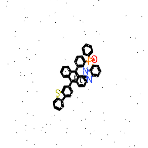 CCc1nc2cccc3c2n1-c1c(-c2c4ccccc4c(-c4ccc5c(c4)sc4ccccc45)c4ccccc24)cccc1P3(=O)c1ccccc1